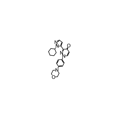 O=c1ccn(-c2ccc(N3CCOCC3)cc2)nc1-c1ccnn1C1CCCCC1